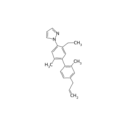 C=CCc1ccc(-c2cc(CC)c(-n3cccn3)cc2C)c(C)c1